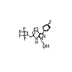 O=C(C[C@@H]1CC(F)(F)C1(F)F)Nc1c(C2CCC2)c(-c2ccc(F)cc2)nn1CCO